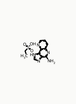 CCS(=O)(=O)O.Nc1nc2cccnc2c2[nH]cnc12